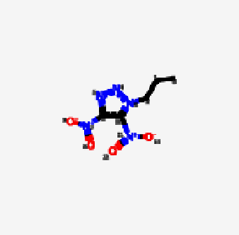 CCCn1nnc([N+](=O)[O-])c1[N+](=O)[O-]